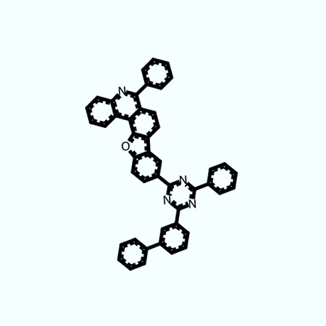 c1ccc(-c2cccc(-c3nc(-c4ccccc4)nc(-c4ccc5oc6c(ccc7c(-c8ccccc8)nc8ccccc8c76)c5c4)n3)c2)cc1